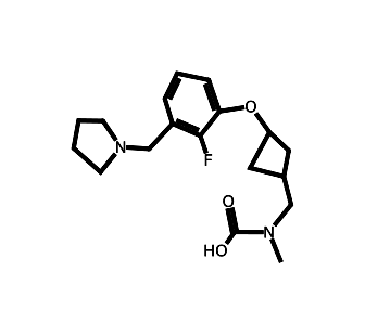 CN(CC1CC(Oc2cccc(CN3CCCC3)c2F)C1)C(=O)O